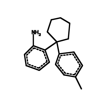 Cc1ccc(C2(c3ccccc3N)CCCCC2)cc1